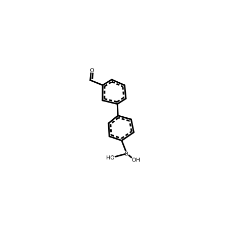 O=Cc1cccc(-c2ccc(B(O)O)cc2)c1